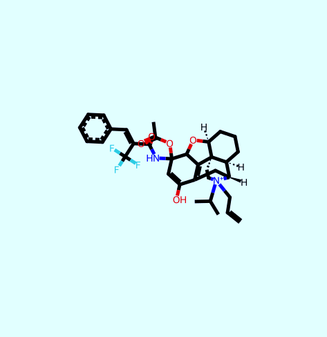 C=CC[N+]1(C(C)C)CC[C@@]23C4=C5C[C@@H]1[C@@H]2CCC[C@@H]3OC4C(NC(=O)C(=Cc1ccccc1)C(F)(F)F)(OC(C)=O)C=C5O